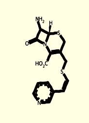 NC1C(=O)N2C(C(=O)O)=C(CS/C=C\c3cccnc3)CS[C@@H]12